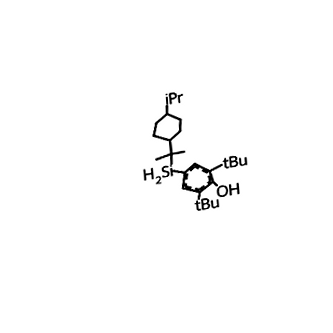 CC(C)C1CCC(C(C)(C)[SiH2]c2cc(C(C)(C)C)c(O)c(C(C)(C)C)c2)CC1